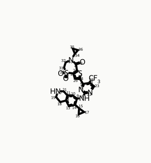 O=C1c2sc(-c3nc(Nc4cc5c(cc4C4CC4)CCNC5)ncc3C(F)(F)F)cc2S(=O)(=O)CCN1C1CC1